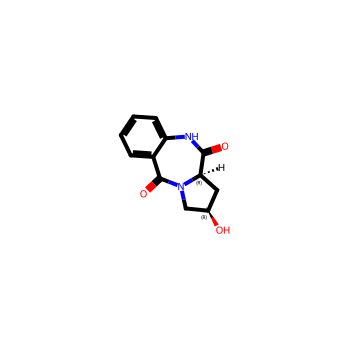 O=C1Nc2ccccc2C(=O)N2C[C@H](O)C[C@H]12